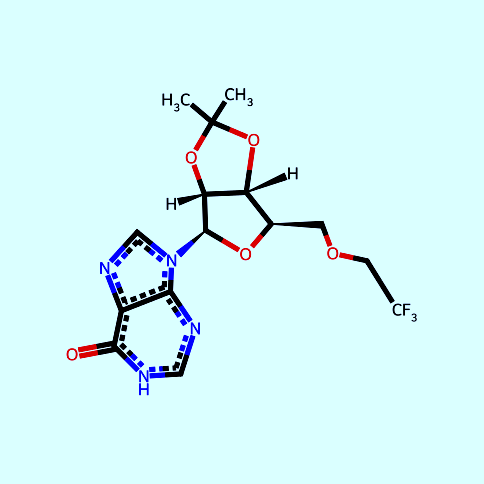 CC1(C)O[C@@H]2[C@H](O1)[C@@H](COCC(F)(F)F)O[C@H]2n1cnc2c(=O)[nH]cnc21